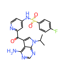 CC(C)n1cc(C(=O)c2cc(NS(=O)(=O)c3ccc(F)cc3)ccn2)c2c(N)ncnc21